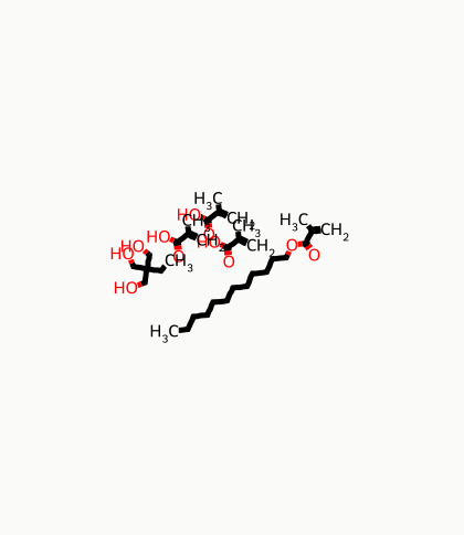 C=C(C)C(=O)O.C=C(C)C(=O)O.C=C(C)C(=O)O.C=C(C)C(=O)OCCCCCCCCCCCC.CCC(CO)(CO)CO